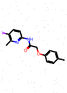 Cc1ccc(OCC(=O)Nc2ccc(I)c(C)n2)cc1